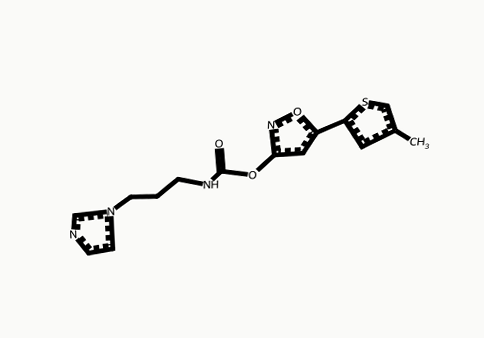 Cc1csc(-c2cc(OC(=O)NCCCn3ccnc3)no2)c1